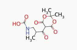 CC(CNC(=O)O)C(=O)C1C(=O)OC(C)(C)OC1=O